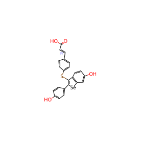 O=C(O)/C=C/c1ccc(Sc2c(-c3ccc(O)cc3)[se]c3cc(O)ccc23)cc1